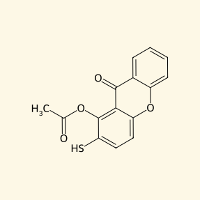 CC(=O)Oc1c(S)ccc2oc3ccccc3c(=O)c12